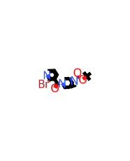 CC(C)(C)OC(=O)N1CC2CC1CN(C(=O)c1cccnc1Br)C2